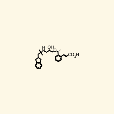 C[C@@H](OC[C@H](O)CNC(C)(C)CC1Cc2ccccc2C1)c1ccccc1/C=C/C(=O)O